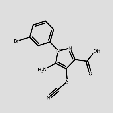 N#CSc1c(C(=O)O)nn(-c2cccc(Br)c2)c1N